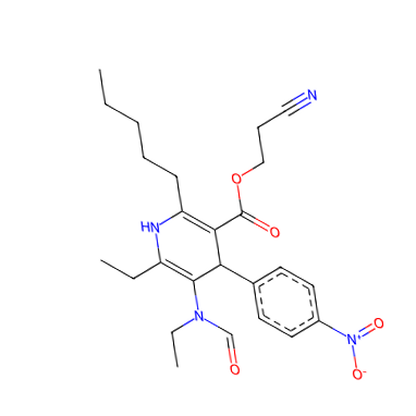 CCCCCC1=C(C(=O)OCCC#N)C(c2ccc([N+](=O)[O-])cc2)C(N(C=O)CC)=C(CC)N1